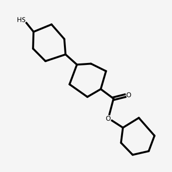 O=C(OC1CCCCC1)C1CCC(C2CCC(S)CC2)CC1